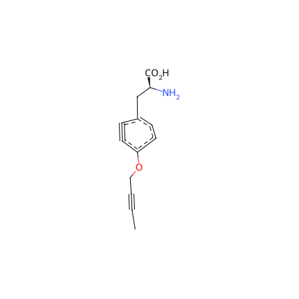 CC#CCOc1c#cc(C[C@H](N)C(=O)O)cc1